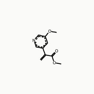 C=C(C(=O)OC)c1cncc(OC)c1